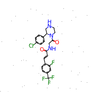 O=C(/C=C/c1ccc(C(F)(F)F)cc1F)NCC(=O)N1CCNCC1c1ccc(Cl)cc1